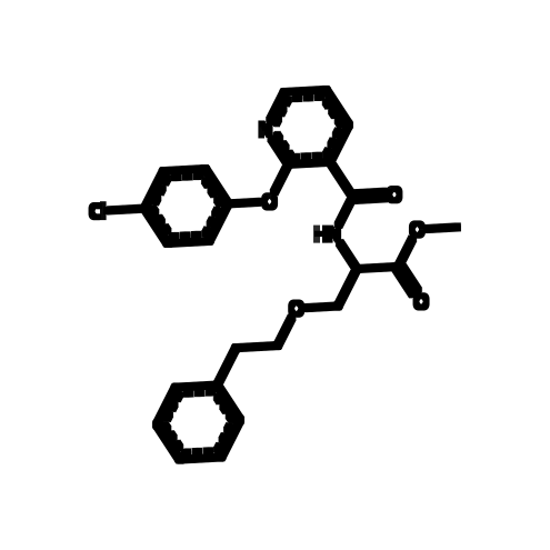 COC(=O)C(COCCc1ccccc1)NC(=O)c1cccnc1Oc1ccc(Cl)cc1